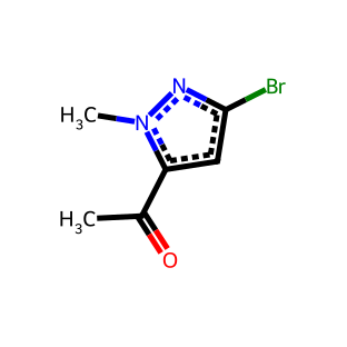 CC(=O)c1cc(Br)nn1C